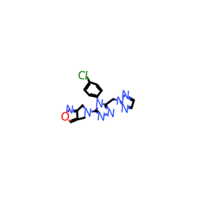 Clc1ccc(-n2c(Cn3nccn3)nnc2N2Cc3conc3C2)cc1